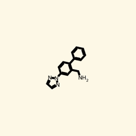 NCc1cc(-n2nccn2)ccc1-c1ccccc1